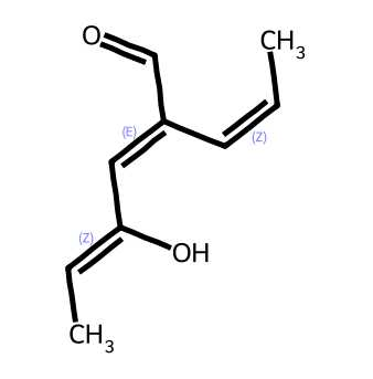 C\C=C/C(C=O)=C\C(O)=C\C